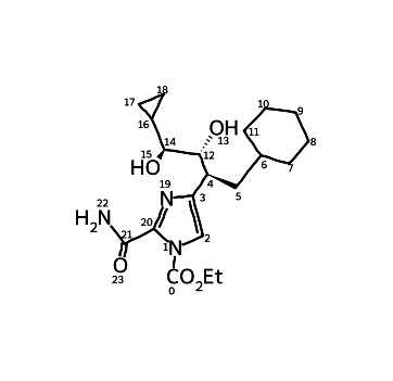 CCOC(=O)n1cc([C@H](CC2CCCCC2)[C@@H](O)[C@@H](O)C2CC2)nc1C(N)=O